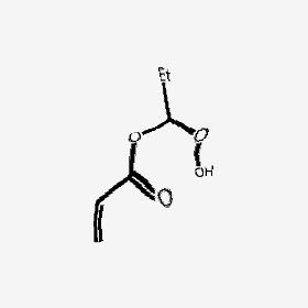 C=CC(=O)OC(CC)OO